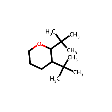 CC(C)(C)C1CCCOC1C(C)(C)C